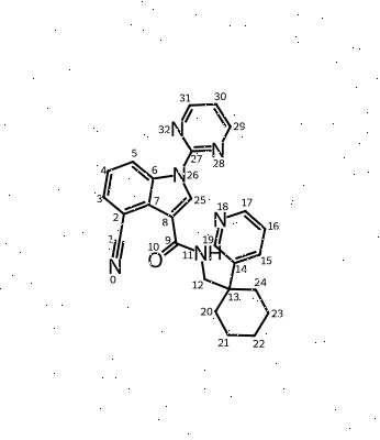 N#Cc1cccc2c1c(C(=O)NCC1(c3cccnc3)CCCCC1)cn2-c1ncccn1